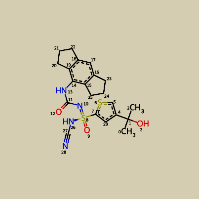 CC(C)(O)c1csc([S@](=O)(=NC(=O)Nc2c3c(cc4c2CCC4)CCC3)NC#N)c1